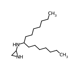 CCCCCCCC(CCCCCCC)NC1CN1